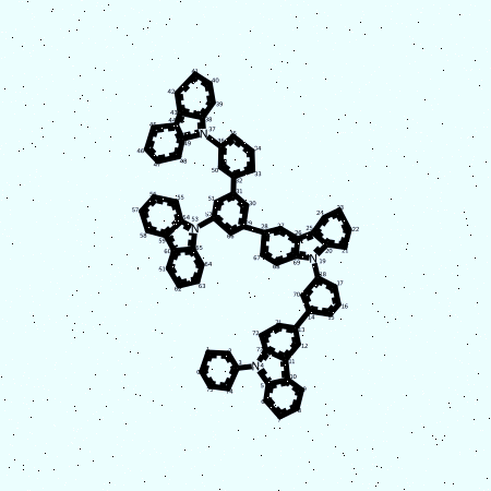 c1ccc(-n2c3ccccc3c3cc(-c4cccc(-n5c6ccccc6c6cc(-c7cc(-c8cccc(-n9c%10ccccc%10c%10ccccc%109)c8)cc(-n8c9ccccc9c9ccccc98)c7)ccc65)c4)ccc32)cc1